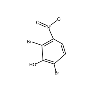 O=[N+]([O-])c1ccc(Br)c(O)c1Br